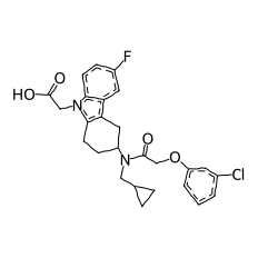 O=C(O)Cn1c2c(c3cc(F)ccc31)CC(N(CC1CC1)C(=O)COc1cccc(Cl)c1)CC2